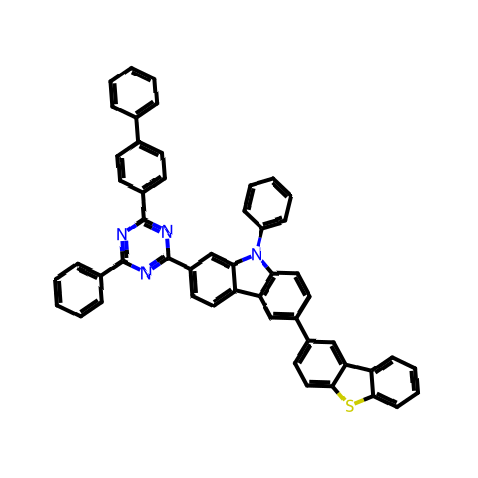 c1ccc(-c2ccc(-c3nc(-c4ccccc4)nc(-c4ccc5c6cc(-c7ccc8sc9ccccc9c8c7)ccc6n(-c6ccccc6)c5c4)n3)cc2)cc1